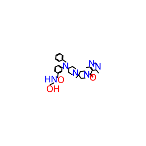 Cc1ncnc(C)c1C(=O)N1CCC(C)(N2CCC(N(Cc3ccccc3)c3cccc(C(=O)NCCO)c3)CC2)CC1